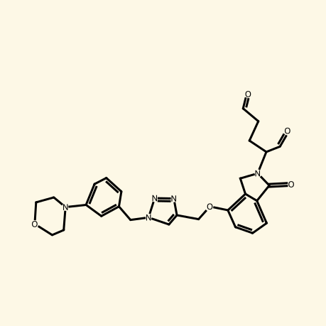 O=CCCC(C=O)N1Cc2c(OCc3cn(Cc4cccc(N5CCOCC5)c4)nn3)cccc2C1=O